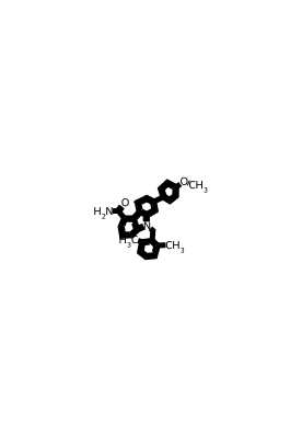 COc1ccc(-c2c[c]c3c4c(C(N)=O)cccc4n(Cc4c(C)cccc4C)c3c2)cc1